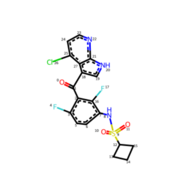 O=C(c1c(F)ccc(NS(=O)(=O)C2CCC2)c1F)c1c[nH]c2nccc(Cl)c12